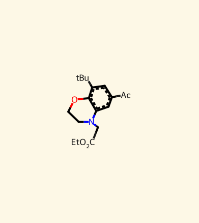 CCOC(=O)CN1CCOc2c1cc(C(C)=O)cc2C(C)(C)C